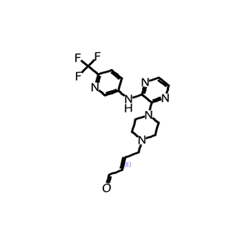 O=C/C=C/CN1CCN(c2nccnc2Nc2ccc(C(F)(F)F)nc2)CC1